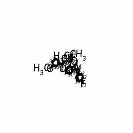 COc1cccc([C@@H](Oc2ccc3c(cnn3-c3ccc(F)cc3)c2)[C@H](C)NC(=O)C(C)C)c1